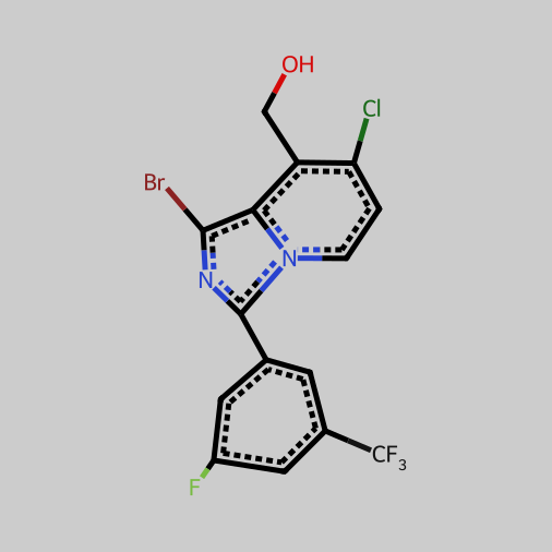 OCc1c(Cl)ccn2c(-c3cc(F)cc(C(F)(F)F)c3)nc(Br)c12